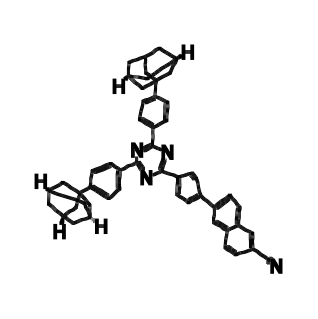 N#Cc1ccc2cc(-c3ccc(-c4nc(-c5ccc(C67CC8C[C@H](C6)C[C@@H](C8)C7)cc5)nc(-c5ccc(C67C[C@H]8C[C@H](C6)C[C@@H](C7)C8)cc5)n4)cc3)ccc2c1